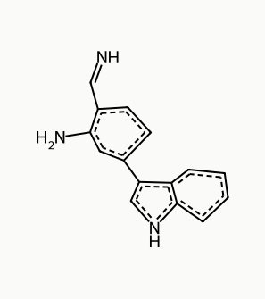 N=Cc1ccc(-c2c[nH]c3ccccc23)cc1N